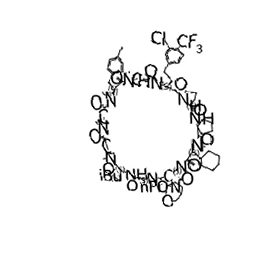 CCC[C@H]1C(=O)N[C@@H]([C@@H](C)CC)C(=O)N(C)CC(=O)N(C)CC(=O)N(C)[C@@H](Cc2ccc(C)cc2)C(=O)N(C)CC(=O)N[C@@H](CCc2ccc(C(F)(F)F)c(Cl)c2)C(=O)N2CCC[C@H]2C(=O)NC2(CCCC2)C(=O)N(C)[C@@H](C2CCCCC2)C(=O)N(C)[C@H](C(=O)N2C3CCC2COC3)CC(=O)N1C